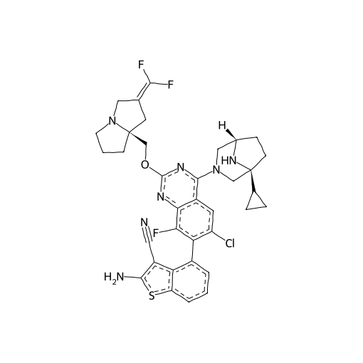 N#Cc1c(N)sc2cccc(-c3c(Cl)cc4c(N5C[C@@H]6CC[C@](C7CC7)(C5)N6)nc(OC[C@@]56CCCN5CC(=C(F)F)C6)nc4c3F)c12